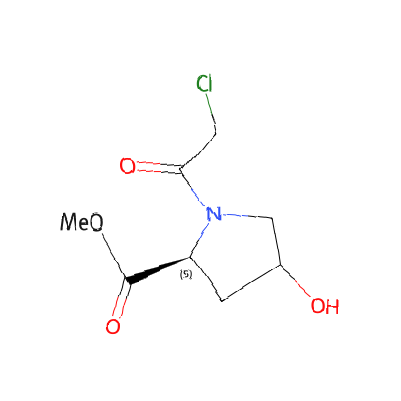 COC(=O)[C@@H]1CC(O)CN1C(=O)CCl